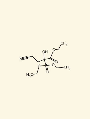 CCOC(=O)C(O)(CCC#N)P(=O)(OCC)OCC